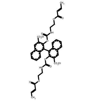 CC=CC(=O)OCCNC(=O)Oc1c(C(=O)OCC)cc2ccccc2c1-c1c(OC(=O)NCCOC(=O)C=CC)c(C(=O)OCC)cc2ccccc12